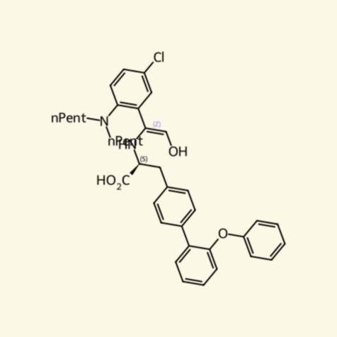 CCCCCN(CCCCC)c1ccc(Cl)cc1/C(=C/O)N[C@@H](Cc1ccc(-c2ccccc2Oc2ccccc2)cc1)C(=O)O